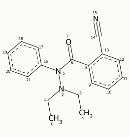 CCN(CC)N(C(=O)c1ccccc1C#N)c1ccccc1